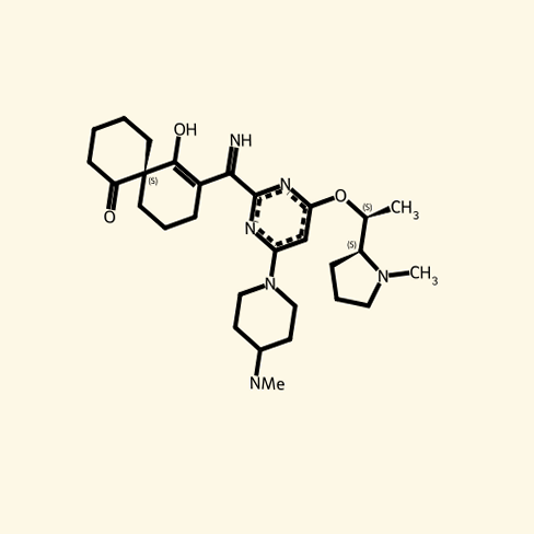 CNC1CCN(c2cc(O[C@@H](C)[C@@H]3CCCN3C)nc(C(=N)C3=C(O)[C@]4(CCCCC4=O)CCC3)n2)CC1